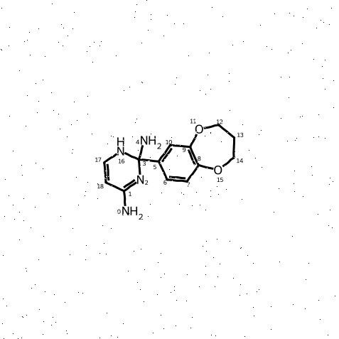 NC1=NC(N)(c2ccc3c(c2)OCCCO3)NC=C1